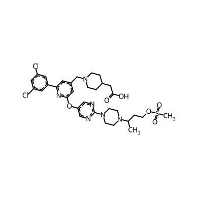 CC(CCOS(C)(=O)=O)N1CCN(c2ncc(Oc3cc(CN4CCC(CC(=O)O)CC4)cc(-c4cc(Cl)cc(Cl)c4)n3)cn2)CC1